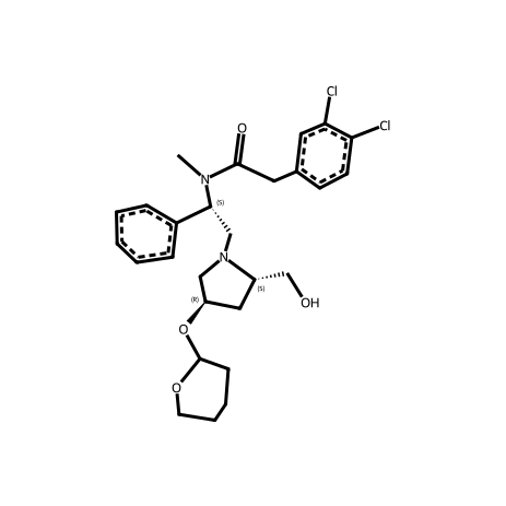 CN(C(=O)Cc1ccc(Cl)c(Cl)c1)[C@H](CN1C[C@H](OC2CCCCO2)C[C@H]1CO)c1ccccc1